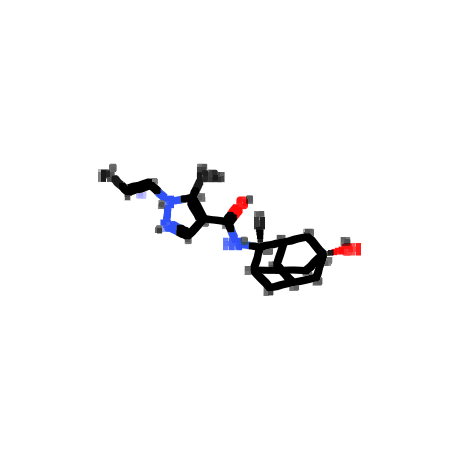 CC(C)/C=C/n1ncc(C(=O)N[C@H]2C3CC4CC2C[C@](O)(C4)C3)c1OCC(C)C